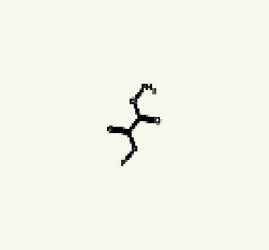 O=C(OF)C(=O)OP